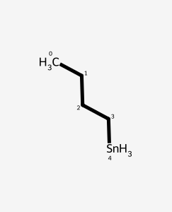 CCC[CH2][SnH3]